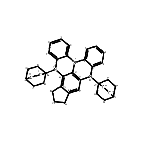 c1ccc2c(c1)B1c3ccccc3N(C34CCC(CC3)CC4)c3c4c(cc(c31)N2C12CCC(CC1)CC2)CCC4